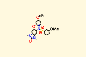 CCCOc1cccc(Oc2cc3c(cc2NS(=O)(=O)c2cccc(OC)c2)n(C)c(=O)n3C)c1